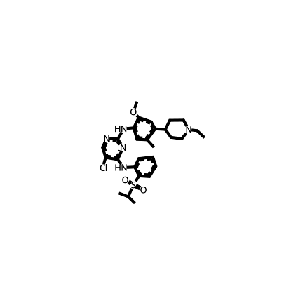 CCN1CCC(c2cc(OC)c(Nc3ncc(Cl)c(Nc4ccccc4S(=O)(=O)C(C)C)n3)cc2C)CC1